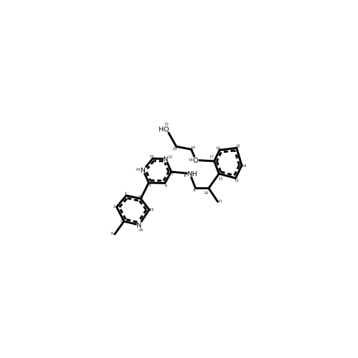 Cc1ccc(-c2cc(NCC(C)c3ccccc3OCCO)ncn2)cn1